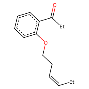 CC/C=C\CCOc1ccccc1C(=O)CC